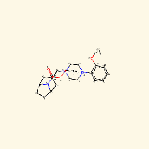 CCOC(=O)N1C2CCC1CC(CN1CCN(c3ccccc3OC)CC1)C2